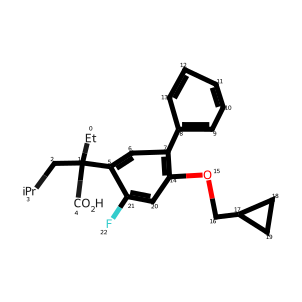 CCC(CC(C)C)(C(=O)O)c1cc(-c2ccccc2)c(OCC2CC2)cc1F